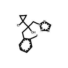 OC(Cc1ccccc1F)(Cn1ncnn1)C1(Cl)CC1